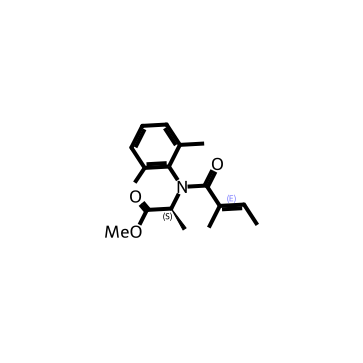 C/C=C(\C)C(=O)N(c1c(C)cccc1C)[C@@H](C)C(=O)OC